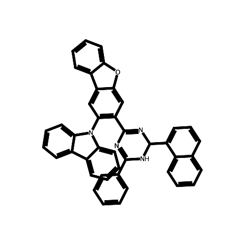 c1ccc(C2=NC(c3cc4oc5ccccc5c4cc3-n3c4ccccc4c4ccccc43)=NC(c3cccc4ccccc34)N2)cc1